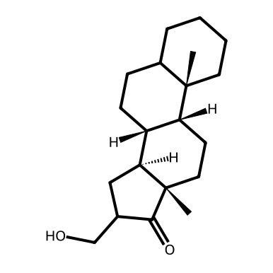 C[C@]12CCCCC1CC[C@@H]1[C@H]2CC[C@]2(C)C(=O)C(CO)C[C@@H]12